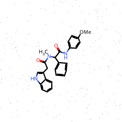 COc1ccc(NC(=O)C(c2ccccc2)N(C)C(=O)Cc2c[nH]c3ccccc23)cc1